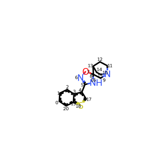 c1ccc2c(C3=NOC4(CN5CCC4CC5)N3)csc2c1